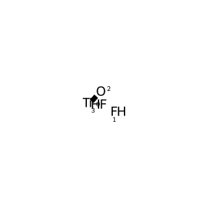 F.F.[O]=[Ti]